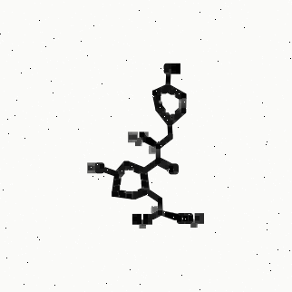 N[C@@H](Cc1ccc(O)cc1C(=O)[C@@H](N)Cc1ccc(O)cc1)C(=O)O